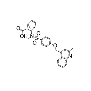 Cc1cc(COc2ccc(S(=O)(=O)N(C)C3C4C=CC(C4)C3C(=O)O)cc2)c2ccccc2n1